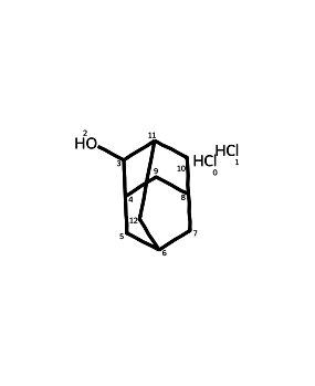 Cl.Cl.OC1C2CC3CC(C2)CC1C3